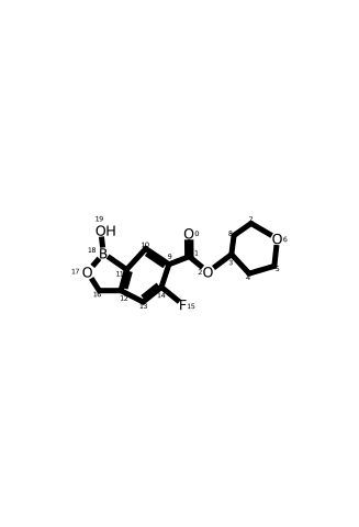 O=C(OC1CCOCC1)c1cc2c(cc1F)COB2O